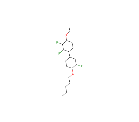 CCCCCOC1CCC(C2CCC(OCC)C(F)C2F)CC1F